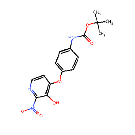 CC(C)(C)OC(=O)Nc1ccc(Oc2ccnc([N+](=O)[O-])c2O)cc1